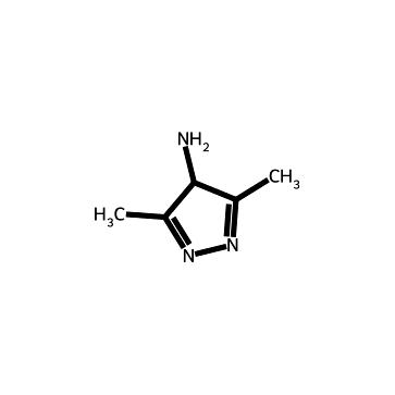 CC1=NN=C(C)C1N